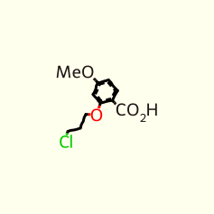 COc1ccc(C(=O)O)c(OCCCCl)c1